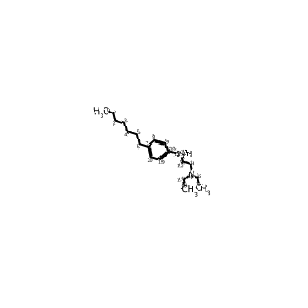 CCCCCCCc1ccc(NCCN(CC)CC)cc1